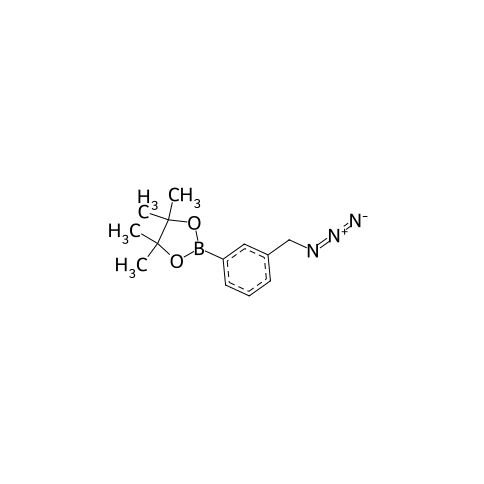 CC1(C)OB(c2cccc(CN=[N+]=[N-])c2)OC1(C)C